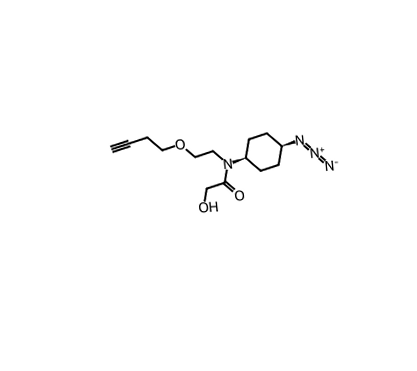 C#CCCOCCN(C(=O)CO)[C@H]1CC[C@@H](N=[N+]=[N-])CC1